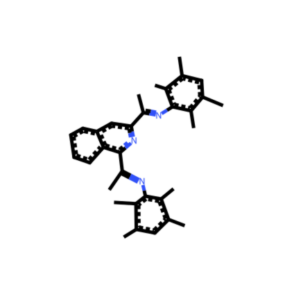 C/C(=N\c1c(C)c(C)cc(C)c1C)c1cc2ccccc2c(/C(C)=N/c2c(C)c(C)cc(C)c2C)n1